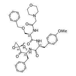 COc1ccc(C[C@H](NC(=O)[C@@H](COCc2ccccc2)NC(=O)CN2CCOCC2)C(=O)N[C@@H](Cc2ccccc2)C(=O)[C@@]2(C)CO2)cc1